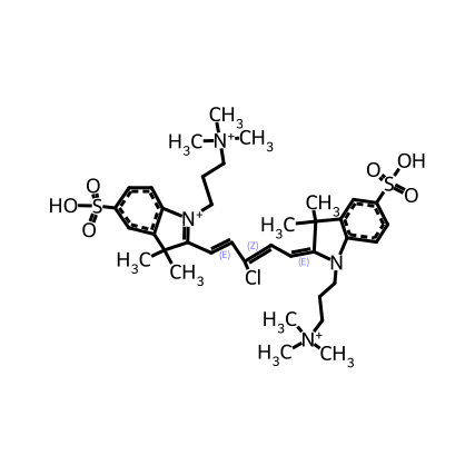 CC1(C)C(/C=C/C(Cl)=C/C=C2/N(CCC[N+](C)(C)C)c3ccc(S(=O)(=O)O)cc3C2(C)C)=[N+](CCC[N+](C)(C)C)c2ccc(S(=O)(=O)O)cc21